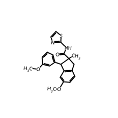 COc1cccc(C2c3cc(OC)ccc3CC2(C)C(=O)Nc2nccs2)c1